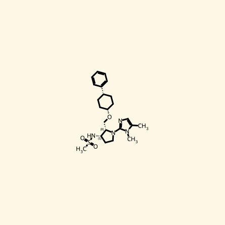 Cc1cnc(N2CC[C@H](NS(C)(=O)=O)[C@@H]2CO[C@H]2CC[C@@H](c3ccccc3)CC2)n1C